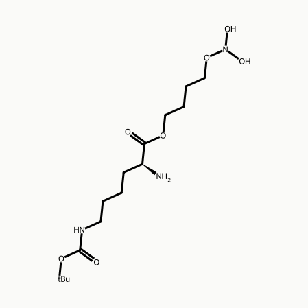 CC(C)(C)OC(=O)NCCCC[C@H](N)C(=O)OCCCCON(O)O